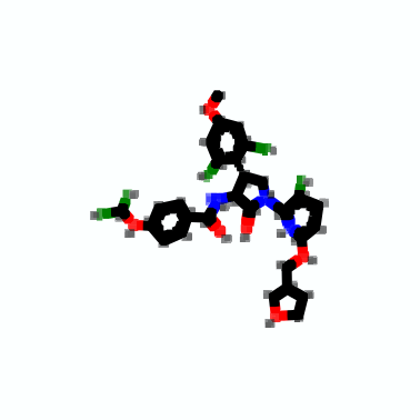 COc1cc(F)c([C@@H]2CN(c3nc(OCC4CCOC4)ccc3F)C(=O)C2NC(=O)c2ccc(OC(F)F)cc2)c(F)c1